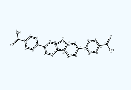 O=C(O)c1ccc(-c2ccc3c(c2)sc2cc(-c4ccc(C(=O)O)cc4)ccc23)cc1